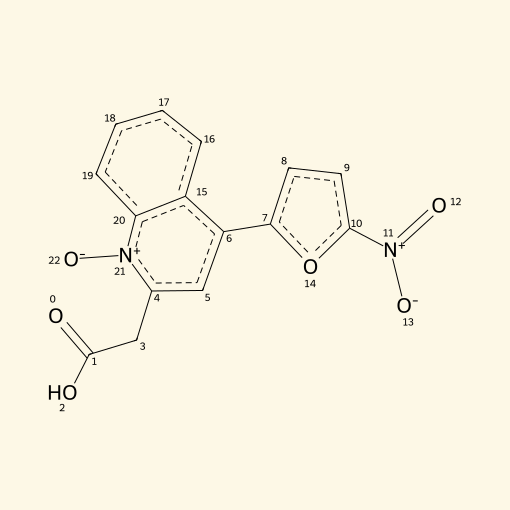 O=C(O)Cc1cc(-c2ccc([N+](=O)[O-])o2)c2ccccc2[n+]1[O-]